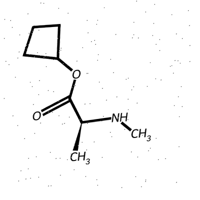 CN[C@@H](C)C(=O)OC1CCC1